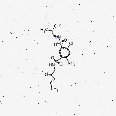 CCOC(=O)CNS(=O)(=O)c1cc(S(=O)(=O)/N=C/N(C)C)c(Cl)cc1N